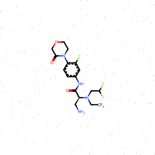 NC[C@@H](C(=O)Nc1ccc(N2CCOCC2=O)c(F)c1)N(CC(F)F)CC(F)(F)F